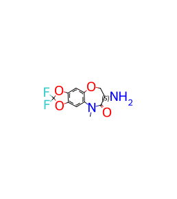 CN1C(=O)[C@@H](N)COc2cc3c(cc21)OC(F)(F)O3